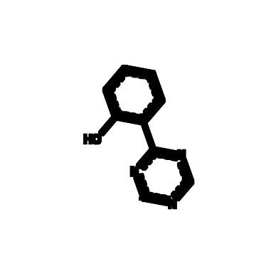 Oc1ccccc1-c1n[c]ncn1